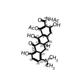 CC(=O)NC(=O)c1c(O)cc2c(c1OC(C)=O)C(O)=C1C(=O)c3c(O)ccc(N(C)C)c3C[C@H]1C2